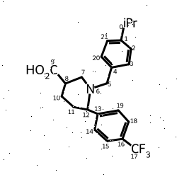 CC(C)c1ccc(CN2CC(C(=O)O)CCC2c2ccc(C(F)(F)F)cc2)cc1